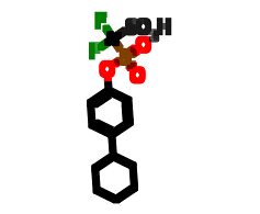 O=S(=O)(O)C(F)(F)S(=O)(=O)Oc1ccc(C2CCCCC2)cc1